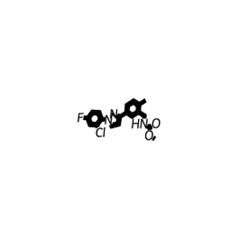 COC(=O)NCc1cc(-c2ccn(-c3ccc(F)cc3Cl)n2)ccc1C